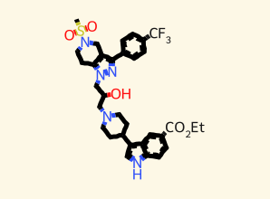 CCOC(=O)c1ccc2[nH]cc(C3CCN(CC(O)Cn4nc(-c5ccc(C(F)(F)F)cc5)c5c4CCN(S(C)(=O)=O)C5)CC3)c2c1